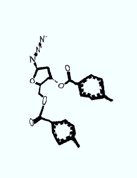 Cc1ccc(C(=O)OC[C@H]2O[C@@H](N=[N+]=[N-])C[C@@H]2OC(=O)c2ccc(C)cc2)cc1